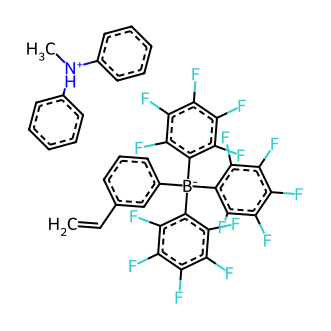 C=Cc1cccc([B-](c2c(F)c(F)c(F)c(F)c2F)(c2c(F)c(F)c(F)c(F)c2F)c2c(F)c(F)c(F)c(F)c2F)c1.C[NH+](c1ccccc1)c1ccccc1